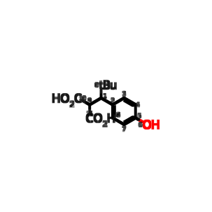 CC(C)(C)C(c1ccc(O)cc1)C(C(=O)O)C(=O)O